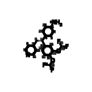 Nc1ccc([C@@H](Cc2ccncc2)c2ccc(OC(F)F)c(OC(F)F)c2)cc1